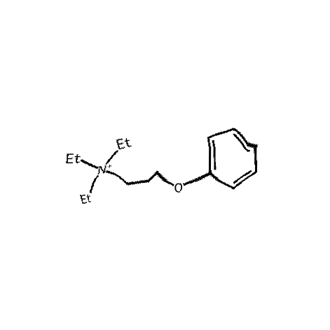 CC[N+](CC)(CC)CCOc1ccccc1